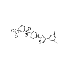 Cc1cc(C)cc(-c2csc(N3CCC(S(=O)(=O)c4cccc([N+](=O)[O-])c4)CC3)n2)c1